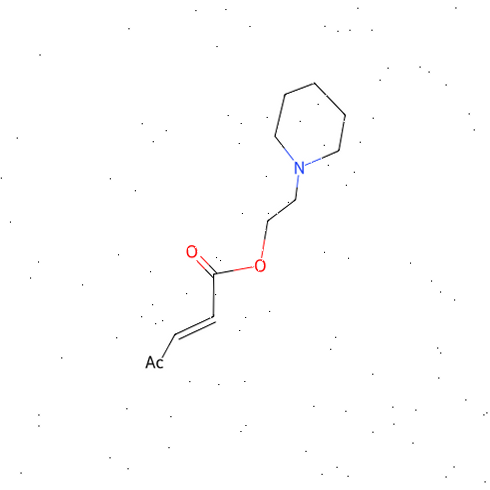 CC(=O)/C=C/C(=O)OCCN1CCCCC1